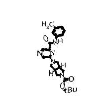 Cc1cccc(NC(=O)c2cncc(N3C[C@H]4CN(C(=O)OC(C)(C)C)C[C@H]4C3)n2)c1